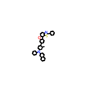 CC1CC(N(c2ccccc2)c2ccc3ccccc3c2)=CC=C1c1ccc2c(c1)oc1ccc3nc(-c4ccccc4)sc3c12